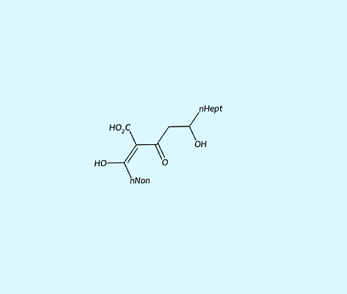 CCCCCCCCCC(O)=C(C(=O)O)C(=O)CC(O)CCCCCCC